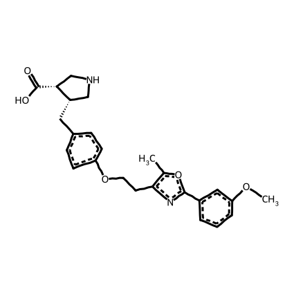 COc1cccc(-c2nc(CCOc3ccc(C[C@H]4CNC[C@H]4C(=O)O)cc3)c(C)o2)c1